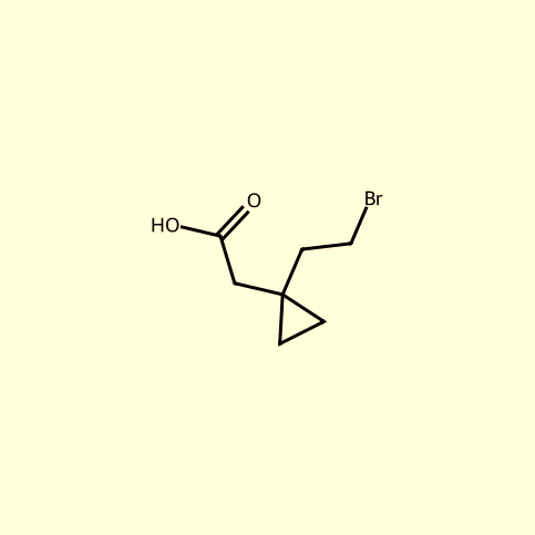 O=C(O)CC1(CCBr)CC1